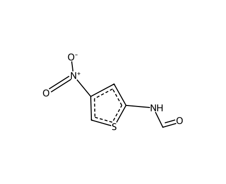 O=CNc1cc([N+](=O)[O-])cs1